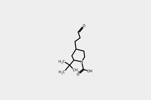 CC(C)(C)C1CC(CCC=O)CCN1C(=O)O